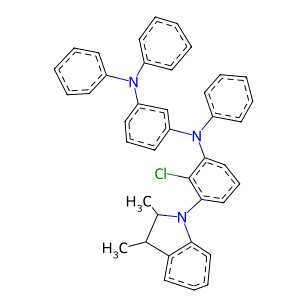 CC1c2ccccc2N(c2cccc(N(c3ccccc3)c3cccc(N(c4ccccc4)c4ccccc4)c3)c2Cl)C1C